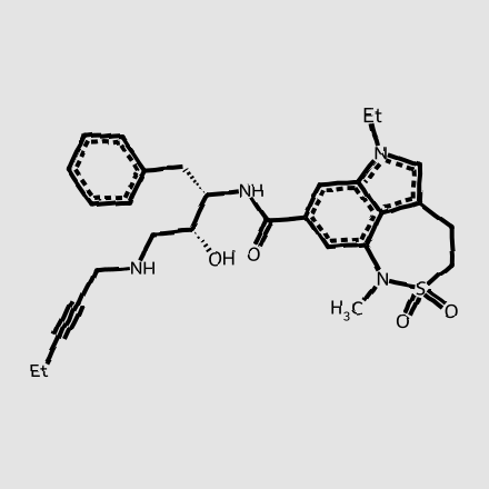 CCC#CCNC[C@@H](O)[C@H](Cc1ccccc1)NC(=O)c1cc2c3c(cn(CC)c3c1)CCS(=O)(=O)N2C